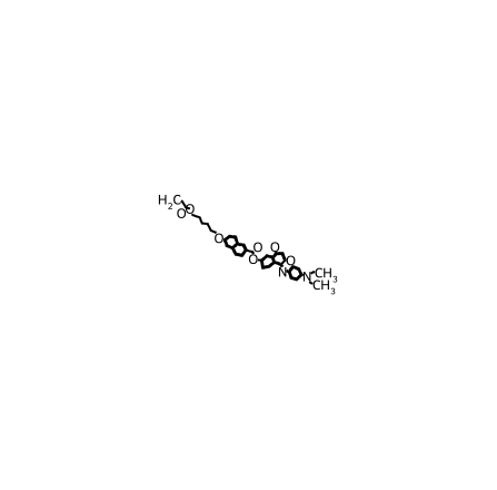 C=CC(=O)OCCCCCCOc1ccc2cc(C(=O)Oc3ccc4c5nc6ccc(N(CC)CC)cc6oc-5cc(=O)c4c3)ccc2c1